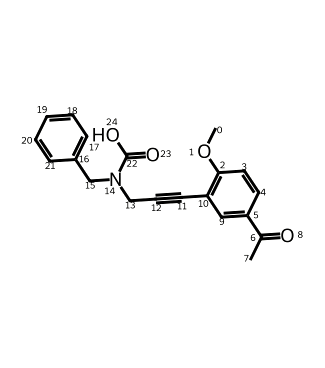 COc1ccc(C(C)=O)cc1C#CCN(Cc1ccccc1)C(=O)O